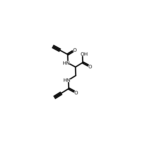 C#CC(=O)NCC(NC(=O)C#C)C(=O)O